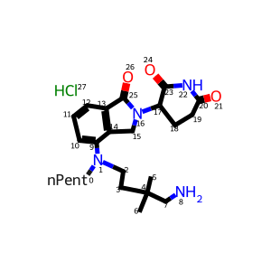 CCCCCN(CCC(C)(C)CN)c1cccc2c1CN(C1CCC(=O)NC1=O)C2=O.Cl